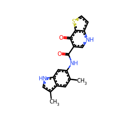 Cc1cc2c(C)c[nH]c2cc1NC(=O)c1c[nH]c2ccsc2c1=O